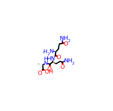 C[C@H](NC(=O)[C@H](CCC(N)=O)NC(=O)[C@@H](N)CCC(N)=O)C(=O)O